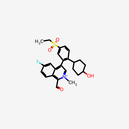 CCS(=O)(=O)c1ccc(C2CCC(O)CC2)c(-c2c[n+](C)c(C=O)c3ccc(F)cc23)c1